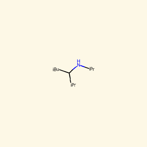 CCC(C)C(NC(C)C)C(C)C